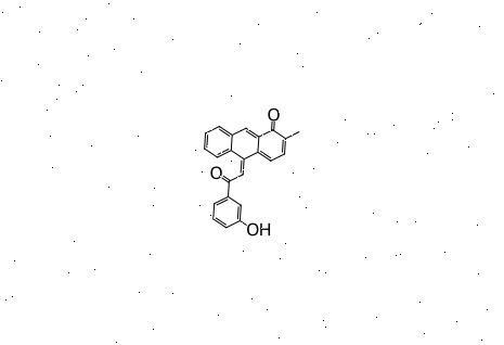 CC1=CC=c2c(cc3ccccc3c2=CC(=O)c2cccc(O)c2)C1=O